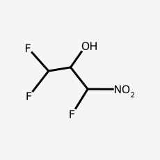 O=[N+]([O-])C(F)C(O)C(F)F